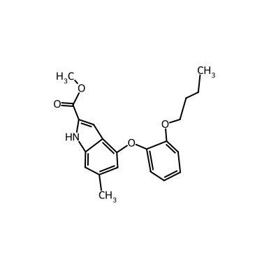 CCCCOc1ccccc1Oc1cc(C)cc2[nH]c(C(=O)OC)cc12